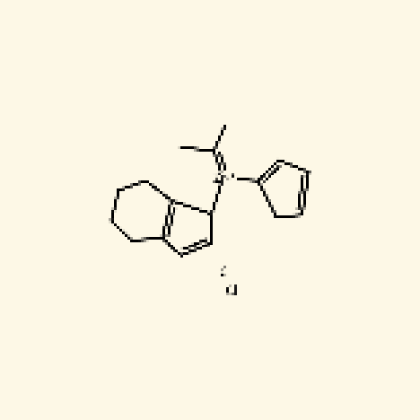 C[C](C)=[Zr+2]([C]1=CC=CC1)[CH]1C=CC2=C1CCCC2.[Cl-].[Cl-]